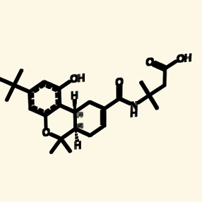 CC(C)(CC(=O)O)NC(=O)C1=CC[C@@H]2[C@@H](C1)c1c(O)cc(C(C)(C)C)cc1OC2(C)C